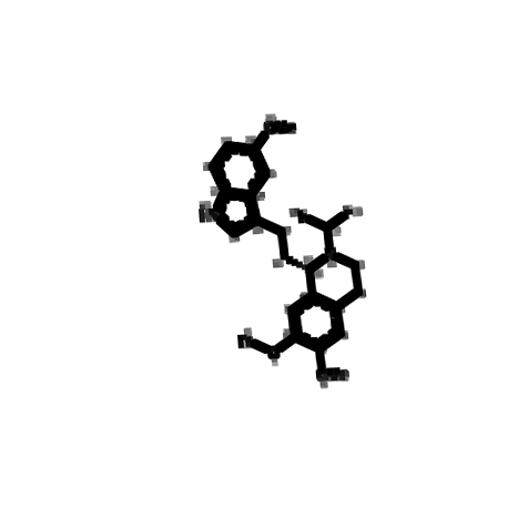 CCOc1cc2c(cc1OC)CCN(C(F)F)[C@H]2CCc1c[nH]c2ccc(OC)cc12